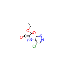 CCOC(=O)C(=C=O)Nc1cnncc1Cl